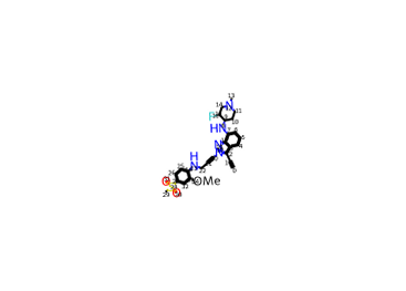 C#Cc1c2cccc(N[C@@H]3CCN(C)C[C@@H]3F)c2nn1C#CCNc1ccc(S(C)(=O)=O)cc1OC